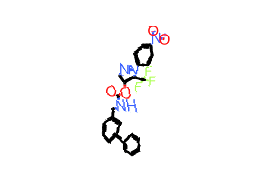 O=C(NCc1cccc(-c2ccccc2)c1)Oc1cnn(-c2ccc([N+](=O)[O-])cc2)c1C(F)(F)F